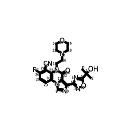 CC(C)(O)c1nc(-c2ncn3c2c(=O)n(CCN2CCOCC2)c2c(C#N)c(F)ccc23)no1